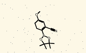 COC1=CC(C#N)=C(B2OC(C)(C)C(C)(C)O2)CC1